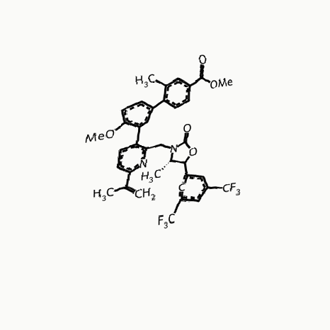 C=C(C)c1ccc(-c2cc(-c3ccc(C(=O)OC)cc3C)ccc2OC)c(CN2C(=O)OC(c3cc(C(F)(F)F)cc(C(F)(F)F)c3)[C@@H]2C)n1